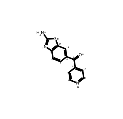 Nc1nc2ccc(C(=O)c3ccncc3)cc2s1